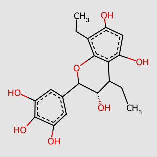 CCc1c(O)cc(O)c2c1OC(c1cc(O)c(O)c(O)c1)[C@@H](O)C2CC